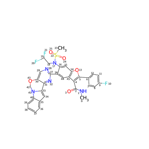 CNC(=O)c1c(-c2ccc(F)cc2)oc2cc(N(CC(F)F)S(C)(=O)=O)c(-c3ncc4c(n3)-c3cc5ccccc5n3CO4)cc12